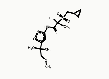 COCC(C)(C)c1cc(NC(=O)C(C)(C)S(=O)(=O)CC2CC2)no1